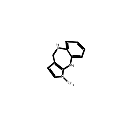 Cn1ccc2c1Nc1ccccc1NC2